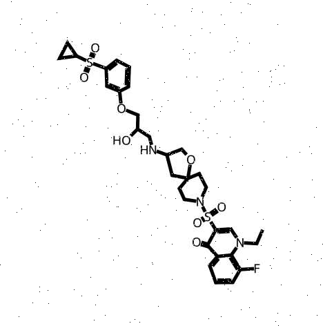 CCn1cc(S(=O)(=O)N2CCC3(CC2)CC(NCC(O)COc2cccc(S(=O)(=O)C4CC4)c2)CO3)c(=O)c2cccc(F)c21